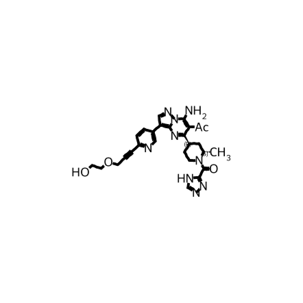 CC(=O)c1c([C@@H]2CCN(C(=O)c3nnc[nH]3)[C@@H](C)C2)nc2c(-c3ccc(C#CCOCCO)nc3)cnn2c1N